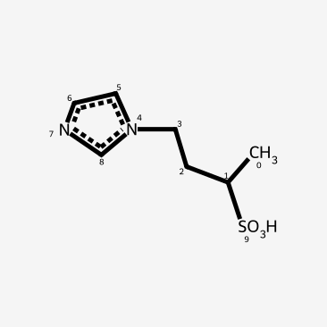 CC(CCn1ccnc1)S(=O)(=O)O